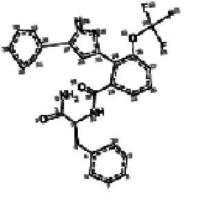 NC(=O)[C@H](Cc1ccccc1)NC(=O)c1cccc(OC(F)(F)F)c1-c1cc(-c2ccccc2)[nH]n1